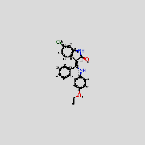 CCOc1ccc(N/C(=C2\C(=O)Nc3cc(Cl)ccc32)c2ccccc2)cc1